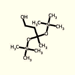 CC(CCO)(O[Si](C)(C)C)O[Si](C)(C)C